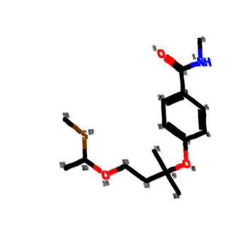 CNC(=O)c1ccc(OC(C)(C)CCOC(C)SC)cc1